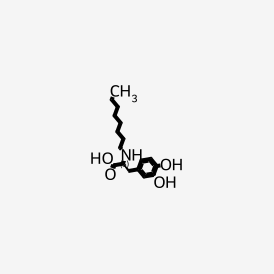 CCCCCCCCN[C@@H](Cc1ccc(O)c(O)c1)C(=O)O